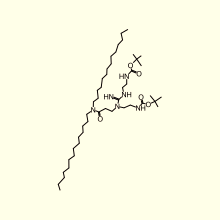 CCCCCCCCCCCCCCN(CCCCCCCCCCCCCC)C(=O)CCN(CCNC(=O)OC(C)(C)C)C(=N)NCCNC(=O)OC(C)(C)C